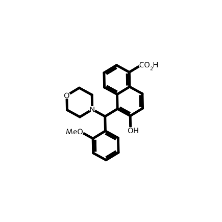 COc1ccccc1C(c1c(O)ccc2c(C(=O)O)cccc12)N1CCOCC1